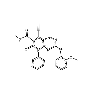 C#Cc1c(C(=O)N(C)C)c(=O)n(-c2ccccc2)c2nc(Nc3ccccc3OC)ncc12